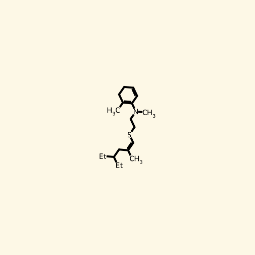 CCC(CC)C/C(C)=C\SCCN(C)C1=C(C)CCC=C1